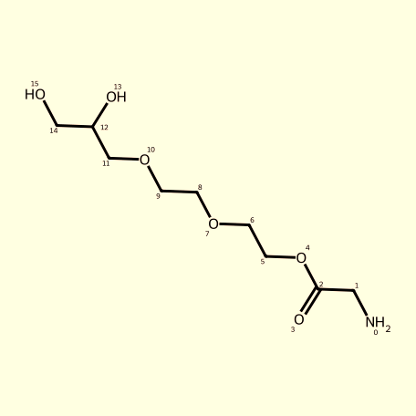 NCC(=O)OCCOCCOCC(O)CO